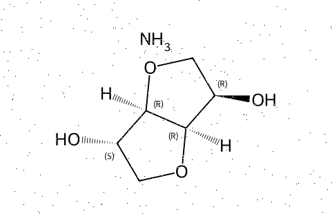 N.O[C@@H]1CO[C@H]2[C@@H]1OC[C@@H]2O